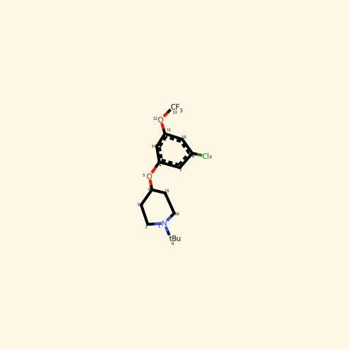 CC(C)(C)N1CCC(Oc2cc(Cl)cc(OC(F)(F)F)c2)CC1